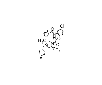 CC1CN(C(=O)COc2ccc(Cl)cc2NC(=O)c2ccco2)C(C)CN1Cc1ccc(F)cc1